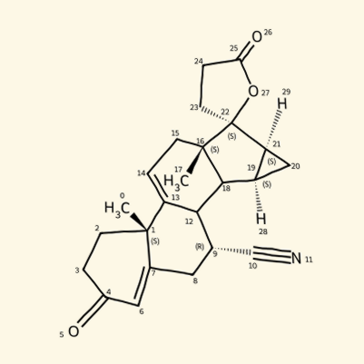 C[C@]12CCC(=O)C=C1C[C@@H](C#N)C1C2=CC[C@@]2(C)C1[C@@H]1C[C@@H]1[C@@]21CCC(=O)O1